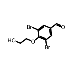 O=Cc1cc(Br)c(OCCO)c(Br)c1